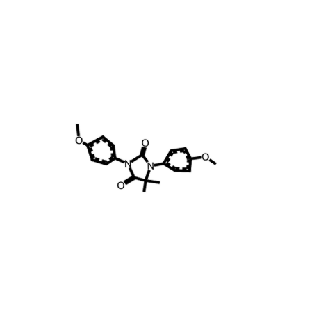 COc1ccc(N2C(=O)N(c3ccc(OC)cc3)C(C)(C)C2=O)cc1